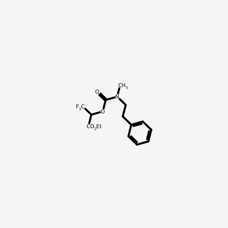 CCOC(=O)C(OC(=O)N(C)CCc1ccccc1)C(F)(F)F